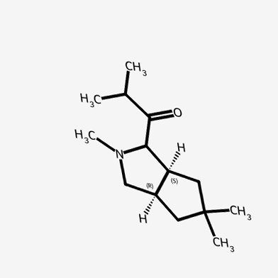 CC(C)C(=O)C1[C@H]2CC(C)(C)C[C@H]2CN1C